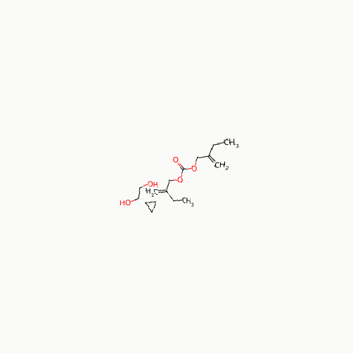 C1CC1.C=C(CC)COC(=O)OCC(=C)CC.OCCO